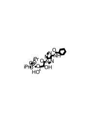 CC(C)OP(=O)(CO[C@@H](CO)[C@@H](O)C(=O)n1cnc2c(NC(=O)c3ccccc3)ncnc21)OC(C)C